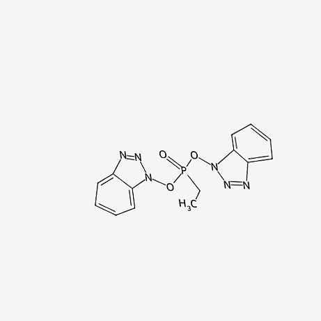 CCP(=O)(On1nnc2ccccc21)On1nnc2ccccc21